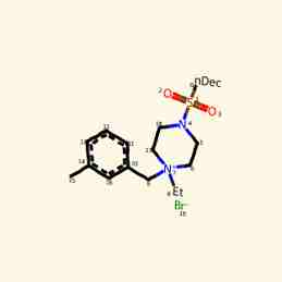 CCCCCCCCCCS(=O)(=O)N1CC[N+](CC)(Cc2cccc(C)c2)CC1.[Br-]